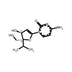 CC(C)[C@]1(CO)OC(n2ccc(N)nc2=O)=C[C@@H]1O